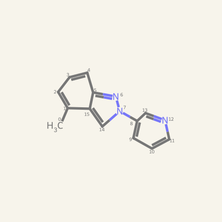 Cc1cccc2nn(-c3cccnc3)cc12